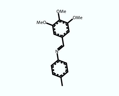 COc1cc(/C=N/c2ccc(C)cc2)cc(OC)c1OC